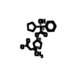 C[N+]1(CC(=O)[O-])CC[C@@H](OC(=O)[C@](O)(c2ccccc2)C2CCCC2)C1